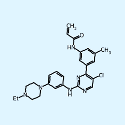 C=CC(=O)Nc1cc(C)cc(-c2nc(Nc3cccc(N4CCN(CC)CC4)c3)ncc2Cl)c1